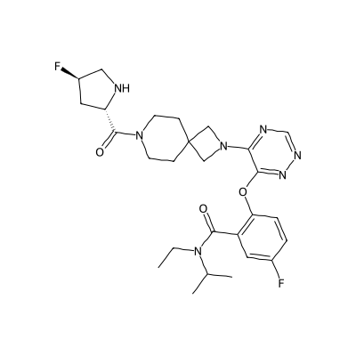 CCN(C(=O)c1cc(F)ccc1Oc1nncnc1N1CC2(CCN(C(=O)[C@@H]3C[C@@H](F)CN3)CC2)C1)C(C)C